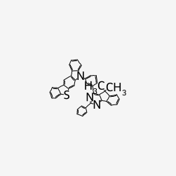 CC1(C)c2ccccc2-c2nc(-c3ccccc3)nc(-c3cccc(-n4c5ccccc5c5cc6c(cc54)sc4ccccc46)c3)c21